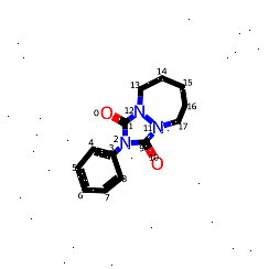 O=c1n(-c2ccccc2)c(=O)n2n1CCCCC2